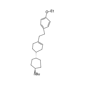 CCCC[C@H]1CC[C@H](C2CC=C(CCc3ccc(OCC)cc3)CC2)CC1